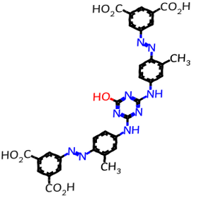 Cc1cc(Nc2nc(O)nc(Nc3ccc(N=Nc4cc(C(=O)O)cc(C(=O)O)c4)c(C)c3)n2)ccc1N=Nc1cc(C(=O)O)cc(C(=O)O)c1